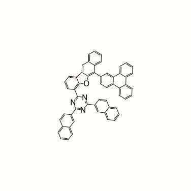 c1ccc2cc(-c3nc(-c4ccc5ccccc5c4)nc(-c4cccc5c4oc4c(-c6ccc7c8ccccc8c8ccccc8c7c6)c6ccccc6cc45)n3)ccc2c1